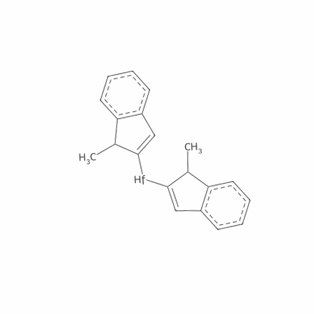 CC1[C]([Hf][C]2=Cc3ccccc3C2C)=Cc2ccccc21